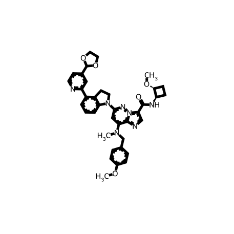 COc1ccc(CN(C)c2cc(N3CCc4c(-c5cc(C6OCCO6)ccn5)cccc43)nn3c(C(=O)N[C@@H]4CC[C@H]4OC)cnc23)cc1